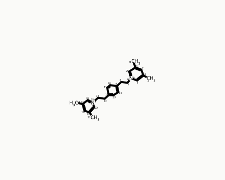 Cc1cc(C)c[n+](CCc2ccc(CC[n+]3cc(C)cc(C)c3)cc2)c1